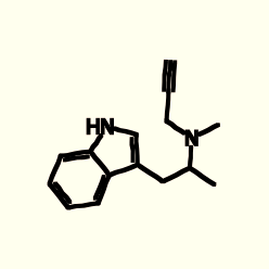 C#CCN(C)C(C)Cc1c[nH]c2ccccc12